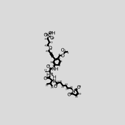 CC(=O)OCc1ccc(NC(=O)[C@H](C)NC(=O)[C@@H](NC(=O)CCCCCN2C(=O)C=CC2=O)C(C)C)cc1C#CCOCCCS(=O)(=O)O